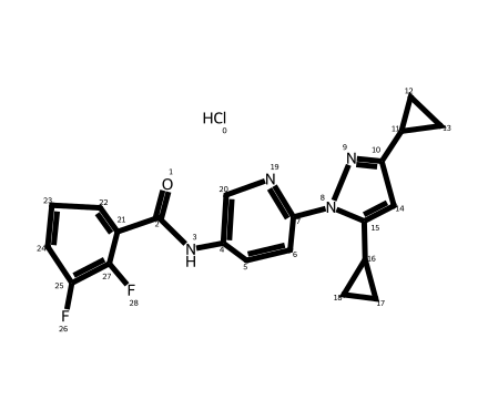 Cl.O=C(Nc1ccc(-n2nc(C3CC3)cc2C2CC2)nc1)c1cccc(F)c1F